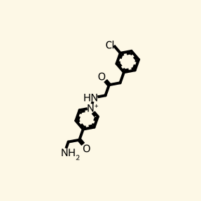 NCC(=O)c1cc[n+](NCC(=O)Cc2cccc(Cl)c2)cc1